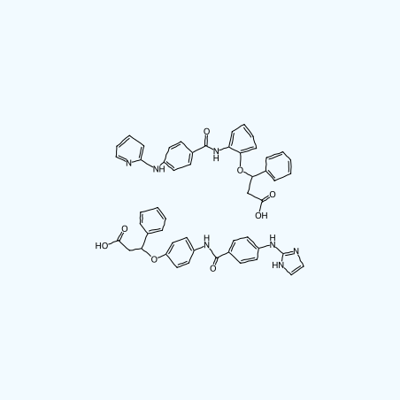 O=C(O)CC(Oc1ccc(NC(=O)c2ccc(Nc3ncc[nH]3)cc2)cc1)c1ccccc1.O=C(O)CC(Oc1ccccc1NC(=O)c1ccc(Nc2ccccn2)cc1)c1ccccc1